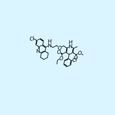 CCOC(=O)C1=C(COCCNc2c3c(nc4cc(Cl)ccc24)CCCC3)NC(C)=C(C(=O)OC)C1c1ccccc1Cl